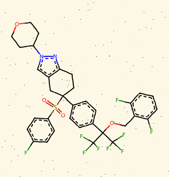 O=S(=O)(c1ccc(F)cc1)C1(c2ccc(C(OCc3c(F)cccc3F)(C(F)(F)F)C(F)(F)F)cc2)CCc2nn(C3CCOCC3)cc2C1